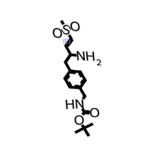 CC(C)(C)OC(=O)NCc1ccc(CC(N)/C=C/S(C)(=O)=O)cc1